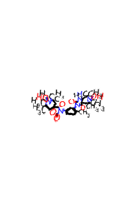 Cc1ccc(N2C(=O)OC3(CC(C)(C)N(O)C(C)(C)C3)C2=O)cc1N1C(=O)NC2(CC(C)(C)N(O)C(C)(C)C2)C1=O